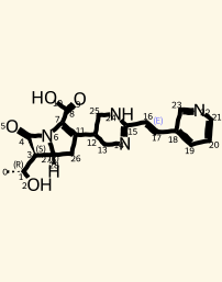 C[C@@H](O)[C@H]1C(=O)N2C(C(=O)O)=C(C3CN=C(/C=C/c4cccnc4)NC3)C[C@H]12